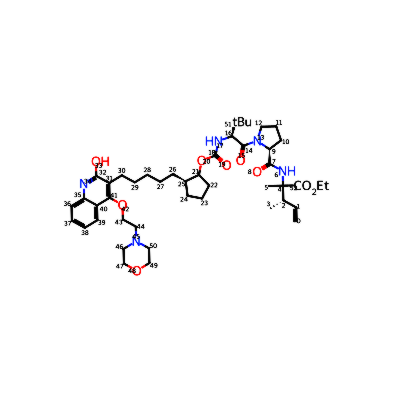 C=C[C@H](C)C(C)(NC(=O)[C@@H]1CCCN1C(=O)[C@@H](NC(=O)OC1CCC[C@H]1CCCCCc1c(O)nc2ccccc2c1OCCN1CCOCC1)C(C)(C)C)C(=O)OCC